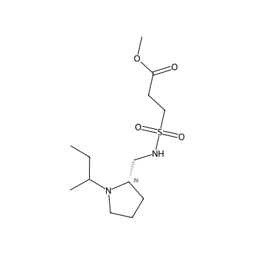 CCC(C)N1CCC[C@H]1CNS(=O)(=O)CCC(=O)OC